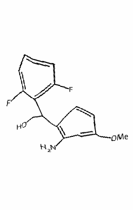 COc1ccc(C(O)c2c(F)cccc2F)c(N)c1